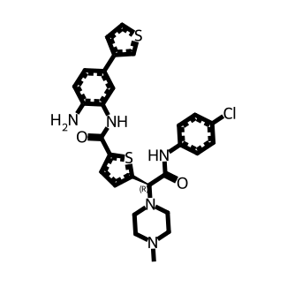 CN1CCN([C@H](C(=O)Nc2ccc(Cl)cc2)c2ccc(C(=O)Nc3cc(-c4ccsc4)ccc3N)s2)CC1